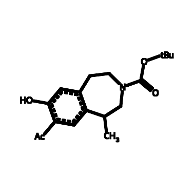 CC(=O)c1cc2c(cc1O)CCN(C(=O)OC(C)(C)C)CC2C